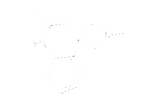 CN1CC2(CC(=O)Nc3ccccc32)C1